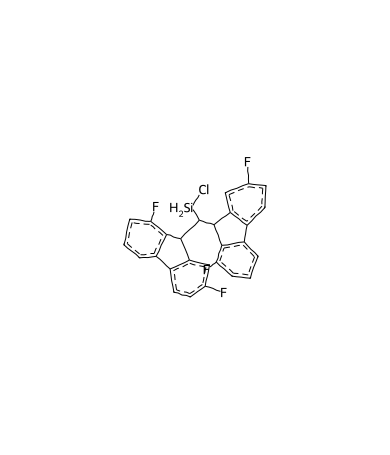 Fc1ccc2c(c1)C(C([SiH2]Cl)C1c3cc(F)ccc3-c3cccc(F)c31)c1c(F)cccc1-2